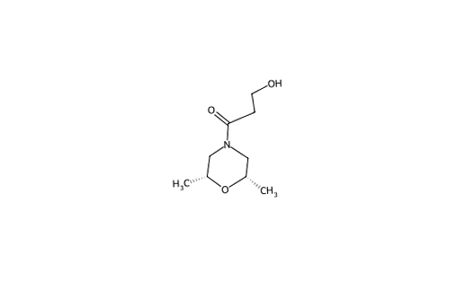 C[C@@H]1CN(C(=O)CCO)C[C@H](C)O1